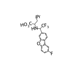 CC(C)CC(NC(c1ccc2c(c1)oc1ccc(F)cc12)C(F)(F)F)C(=O)O